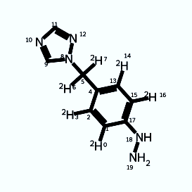 [2H]c1c([2H])c(C([2H])([2H])n2cncn2)c([2H])c([2H])c1NN